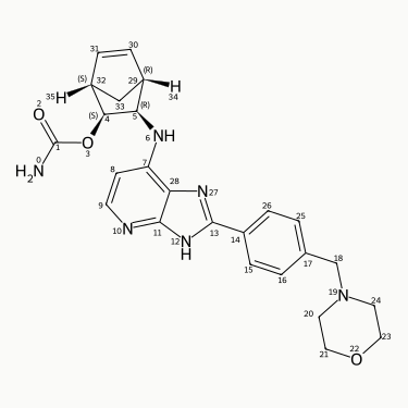 NC(=O)O[C@@H]1[C@H](Nc2ccnc3[nH]c(-c4ccc(CN5CCOCC5)cc4)nc23)[C@H]2C=C[C@@H]1C2